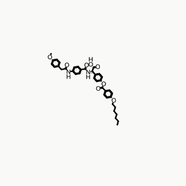 CCCCCCCOc1ccc(C(=O)Oc2ccc([C@H](NC(=O)c3ccc(NC(=O)Cc4ccc(OC)cc4)cc3)C(=O)O)cc2)cc1